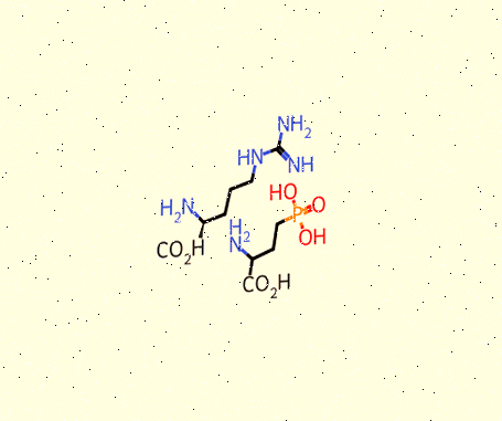 N=C(N)NCCC[C@H](N)C(=O)O.NC(CCP(=O)(O)O)C(=O)O